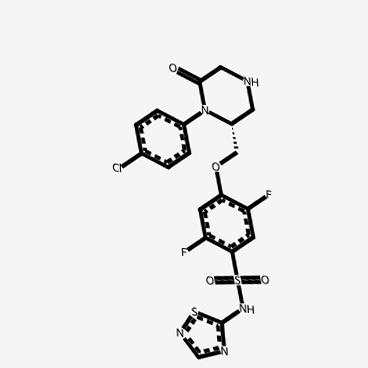 O=C1CNC[C@H](COc2cc(F)c(S(=O)(=O)Nc3ncns3)cc2F)N1c1ccc(Cl)cc1